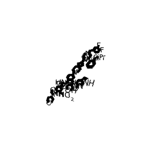 CC(C)Oc1ccccc1[C@@H]1CN(Cc2ccc(F)c(F)c2)CCN1C1CC2(CCN(c3ccc(C(=O)NS(=O)(=O)c4cc5c(c([N+](=O)[O-])c4)N[C@H](C4CCOCC4)CO5)c(N4c5cc6cc[nH]c6nc5O[C@H]5COCC[C@@H]54)c3)CC2)C1